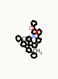 CC1(c2ccc3c(c2)C2(c4cc(C5(C)CCCCC5)ccc4-3)c3ccccc3-c3c(N(c4ccc5c(c4)oc4ccccc45)c4ccccc4-c4ccccc4)cccc32)CCCCC1